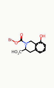 O=C(O)C1Cc2cccc(O)c2CN1C(=O)OBr